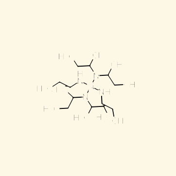 CCCN[Si](NCCC)(N(C(C)CC)C(C)CC)N(C(C)CC)C(C)CC